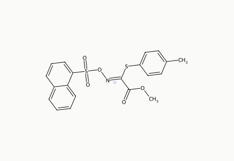 COC(=O)/C(=N/OS(=O)(=O)c1cccc2ccccc12)Sc1ccc(C)cc1